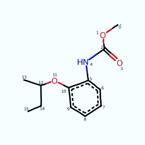 [CH2]OC(=O)Nc1ccccc1OC(C)CC